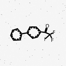 O=C(c1ccc(-c2ccccc2)cc1)C(F)(F)I